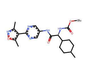 Cc1noc(C)c1-c1ncc(NC(=O)[C@@H](NC(=O)OC(C)(C)C)C2CCC(C)CC2)cn1